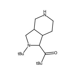 CC(C)(C)C(=O)C1C2CCNCC2CN1C(C)(C)C